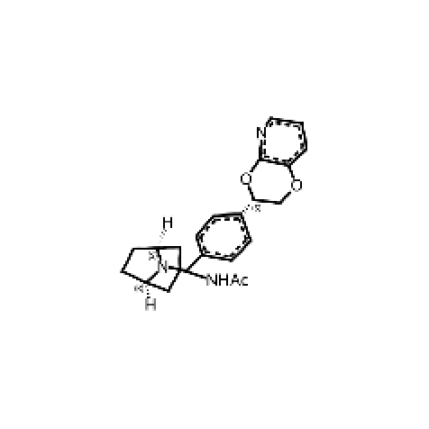 CC(=O)NC1C[C@H]2CC[C@@H](C1)N2Cc1ccc([C@H]2COc3cccnc3O2)cc1